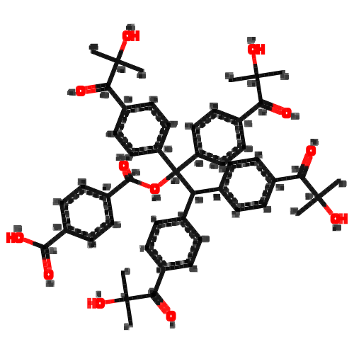 CC(C)(O)C(=O)c1ccc(C(c2ccc(C(=O)C(C)(C)O)cc2)C(OC(=O)c2ccc(C(=O)O)cc2)(c2ccc(C(=O)C(C)(C)O)cc2)c2ccc(C(=O)C(C)(C)O)cc2)cc1